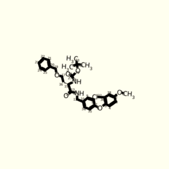 COc1ccc(Oc2ccc(CNC(=O)[C@H](CCOCc3ccccc3)NC(=O)OC(C)(C)C)cc2)c(Cl)c1